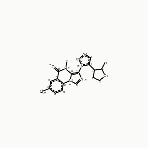 CC1OCCC1c1cnnn1C1=C2N(C)C(=O)c3cc(Cl)ccc3[N+]2C=N1